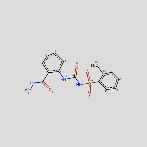 CCCNC(=O)c1ccccc1NC(=O)NS(=O)(=O)c1ccccc1C